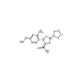 COc1ccc([C@@H]2CN(C3CCCC3)C[C@H]2C(=O)O)c(C)c1